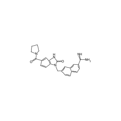 N=C(N)c1ccc2ccc(Cn3c(=O)[nH]c4cc(C(=O)N5CCCC5)ccc43)cc2c1